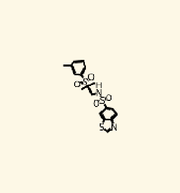 Cc1cccc(S(=O)(=O)C(C)(C)CNS(=O)(=O)c2ccc3ncsc3c2)c1